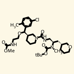 COC(=O)NCCOC(c1cc(Cl)ccc1C)[C@@H]1CCCN(C(=O)NC[C@@H](C[C@H]2CCCOC2)N(C)C(=O)OC(C)(C)C)C1